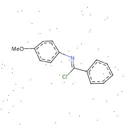 COc1ccc(N=C(Cl)c2ccccc2)cc1